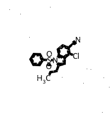 CCCc1cc2c(Cl)c(C#N)ccc2n1S(=O)(=O)c1ccccc1